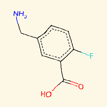 NCc1ccc(F)c(C(=O)O)c1